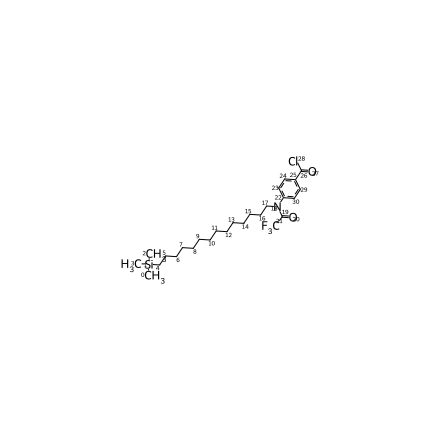 C[Si](C)(C)CCCCCCCCCCCCCCN(C(=O)C(F)(F)F)c1ccc(C(=O)Cl)cc1